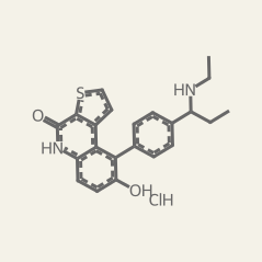 CCNC(CC)c1ccc(-c2c(O)ccc3[nH]c(=O)c4sccc4c23)cc1.Cl